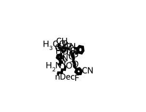 CCCCCCCCCCCCCCCOC[C@H](COP(=O)(OC[C@@]1(C#N)O[C@@H](c2ccc3c(N)ncnn23)[C@@H]2OC(C)(C)O[C@@H]21)Oc1ccccc1Cl)OCc1cc(F)cc(C#N)c1